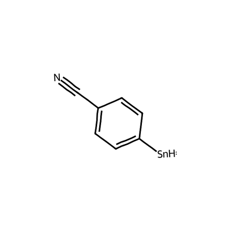 N#Cc1cc[c]([SnH])cc1